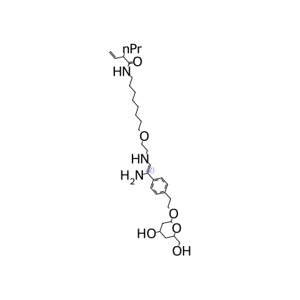 C=CC(CCC)C(=O)NCCCCCCCCOCCN/C=C(\N)c1ccc(CCOC2CC(O)CC(CO)O2)cc1